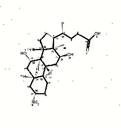 C[C@H](CCC(=O)O)[C@H]1CC[C@H]2[C@@H]3[C@@H](O)C[C@@H]4C[C@@H](N)CC[C@]4(C)[C@H]3C[C@H](O)[C@]12C